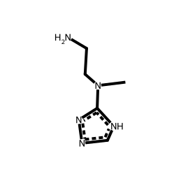 CN(CCN)c1nnc[nH]1